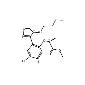 CCCCO[C@@H]1CON=C1c1cc(Cl)c(F)cc1O[C@@H](C)C(=O)OC